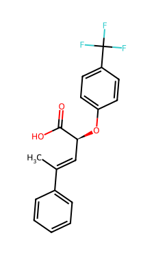 CC(=C[C@H](Oc1ccc(C(F)(F)F)cc1)C(=O)O)c1ccccc1